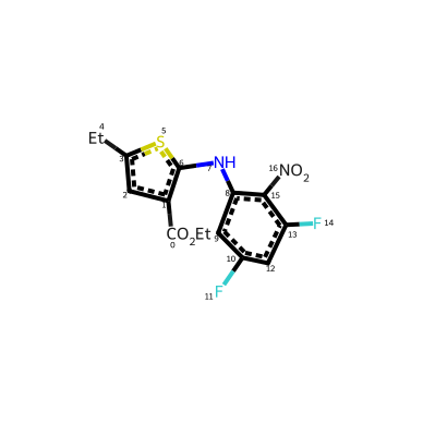 CCOC(=O)c1cc(CC)sc1Nc1cc(F)cc(F)c1[N+](=O)[O-]